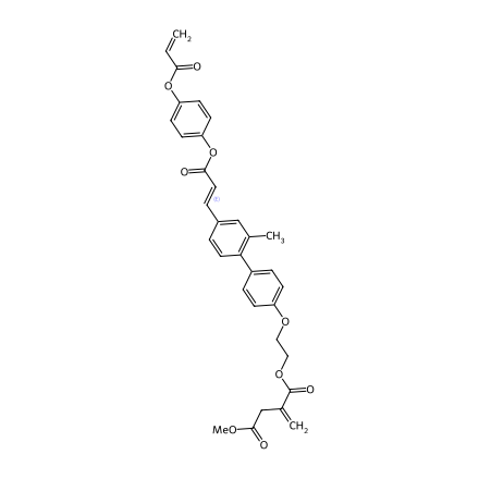 C=CC(=O)Oc1ccc(OC(=O)/C=C/c2ccc(-c3ccc(OCCOC(=O)C(=C)CC(=O)OC)cc3)c(C)c2)cc1